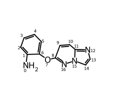 Nc1ccccc1Oc1ccc2nccn2n1